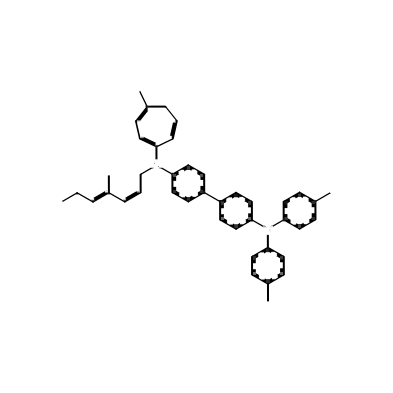 CC/C=C(C)/C=C\CN(C1=CC=C(C)CC=C1)c1ccc(-c2ccc(N(c3ccc(C)cc3)c3ccc(C)cc3)cc2)cc1